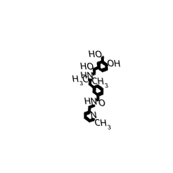 Cc1cccc(CCNC(=O)c2cccc(CC(C)(C)NC[C@@H](O)c3ccc(O)c(CO)c3)c2)n1